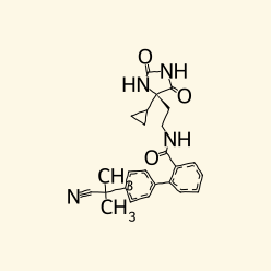 CC(C)(C#N)c1ccc(-c2ccccc2C(=O)NCC[C@@]2(C3CC3)NC(=O)NC2=O)cc1